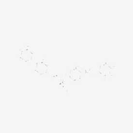 C(=C\c1ccc(-c2ccccc2)cc1)/C1=NCCc2cc(OCc3ccccc3)ccc21